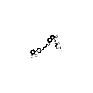 NCC(=O)OCn1c(=O)ccc2ccc(OCCCCN3CCN(c4cccc(Cl)c4Cl)CC3)cc21